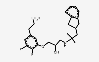 CC(C)(CC1Cc2ccccc2C1)NCC(O)COc1cc(CCC(=O)O)cc(F)c1F